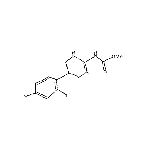 COC(=O)NC1=NCC(c2ccc(I)cc2I)CN1